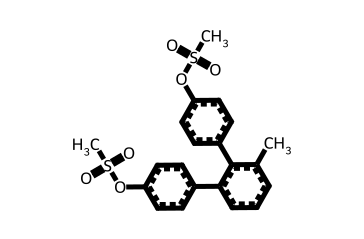 Cc1cccc(-c2ccc(OS(C)(=O)=O)cc2)c1-c1ccc(OS(C)(=O)=O)cc1